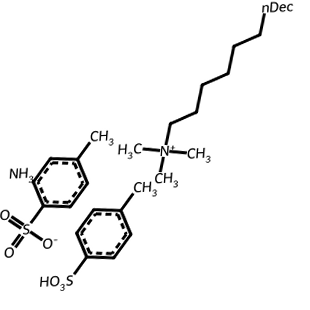 CCCCCCCCCCCCCCCC[N+](C)(C)C.Cc1ccc(S(=O)(=O)O)cc1.Cc1ccc(S(=O)(=O)[O-])cc1.N